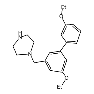 CCOc1cccc(-c2cc(CN3CCNCC3)cc(OCC)c2)c1